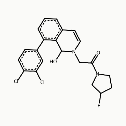 O=C(CN1C=Cc2cccc(-c3ccc(Cl)c(Cl)c3)c2C1O)N1CCC(F)C1